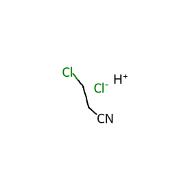 N#CCCCl.[Cl-].[H+]